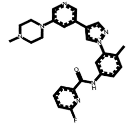 Cc1ccc(NC(=O)c2cccc(F)n2)cc1-n1cc(-c2cncc(N3CCN(C)CC3)c2)cn1